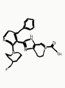 O=C(O)N1CCc2nc(-c3c(-c4ccccc4)ccnc3N3CCC(F)C3)[nH]c2C1